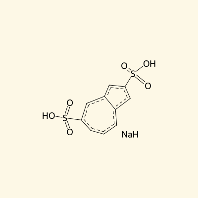 O=S(=O)(O)c1cccc2cc(S(=O)(=O)O)cc-2c1.[NaH]